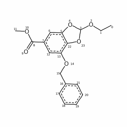 CCOC1Oc2cc(C(=O)OC)cc(OCc3ccccc3)c2O1